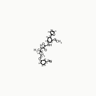 COc1cc(NC(=O)C(=O)NC(C)(C)CCOc2cccc(C#N)c2)ccc1-c1cnco1